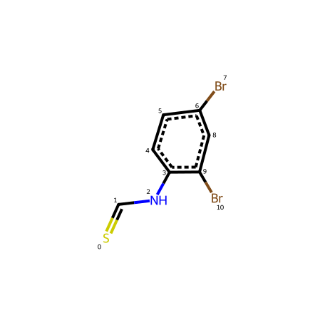 S=CNc1ccc(Br)cc1Br